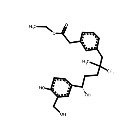 CCOC(=O)Cc1cccc(CC(C)(C)CC[C@H](O)c2ccc(O)c(CO)c2)c1